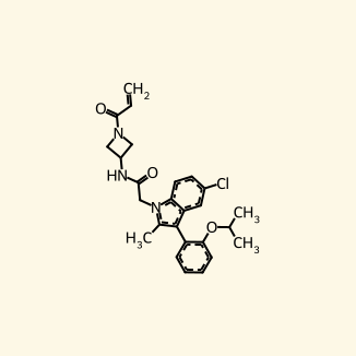 C=CC(=O)N1CC(NC(=O)Cn2c(C)c(-c3ccccc3OC(C)C)c3cc(Cl)ccc32)C1